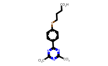 O=C(O)CCCSc1ccc(-c2nc(C(Cl)(Cl)Cl)nc(C(Cl)(Cl)Cl)n2)cc1